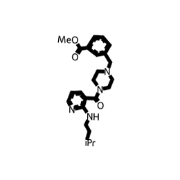 COC(=O)c1cccc(CN2CCN(C(=O)c3cccnc3NCCC(C)C)CC2)c1